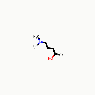 CCC(O)CCCN(C)C